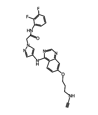 C#CNCCCOc1ccc2c(Nc3cnn(CC(=O)Nc4cccc(F)c4F)c3)ncnc2c1